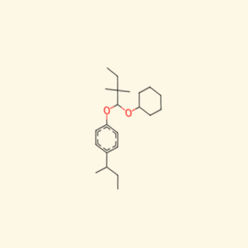 CCC(C)c1ccc(OC(OC2CCCCC2)C(C)(C)CC)cc1